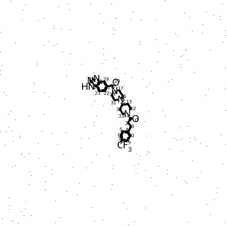 O=C(CCc1ccc(C(F)(F)F)cc1)N1CCC(N2CCN(C(=O)c3ccc4[nH]nnc4c3)CC2)CC1